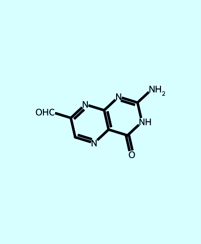 Nc1nc2nc(C=O)cnc2c(=O)[nH]1